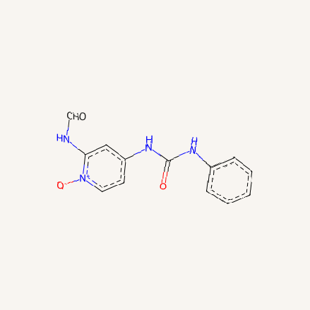 O=CNc1cc(NC(=O)Nc2ccccc2)cc[n+]1[O-]